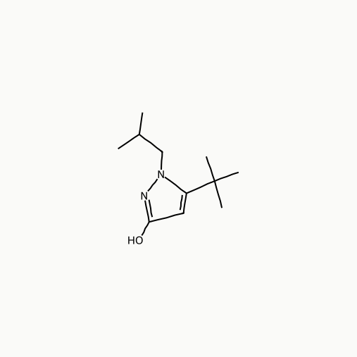 CC(C)Cn1nc(O)cc1C(C)(C)C